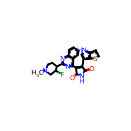 CN1CCC(c2nc(C3=C(c4c[nH]c5ccsc45)C(=O)NC3=O)c3ccccc3n2)C(F)C1